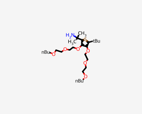 CCCCOCCOCCOc1c(C(C)(C)C)sc(C(C)(C)N)c1OCCOCCOCCCC